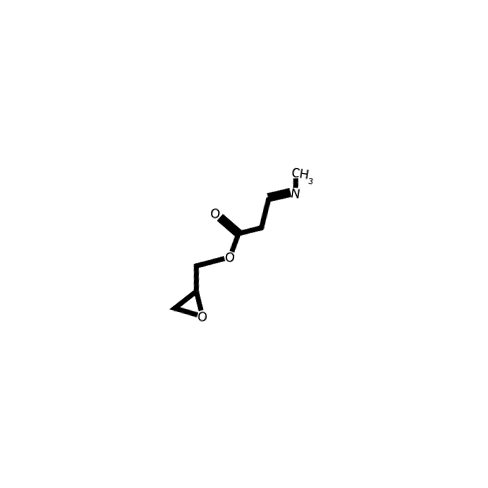 C/N=C/CC(=O)OCC1CO1